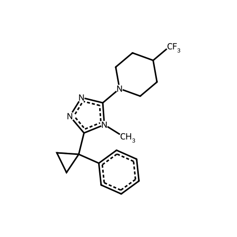 Cn1c(N2CCC(C(F)(F)F)CC2)nnc1C1(c2ccccc2)CC1